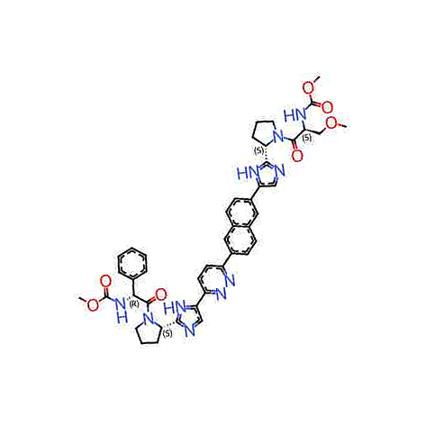 COC[C@H](NC(=O)OC)C(=O)N1CCC[C@H]1c1ncc(-c2ccc3cc(-c4ccc(-c5cnc([C@@H]6CCCN6C(=O)[C@H](NC(=O)OC)c6ccccc6)[nH]5)nn4)ccc3c2)[nH]1